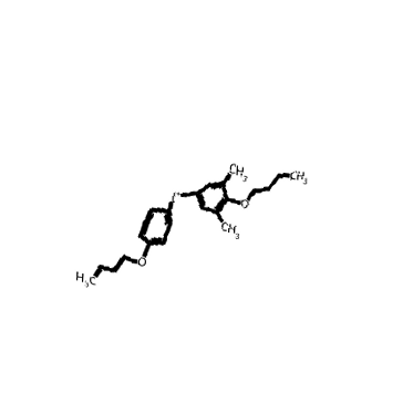 CCCCOc1ccc([I+]c2cc(C)c(OCCCC)c(C)c2)cc1